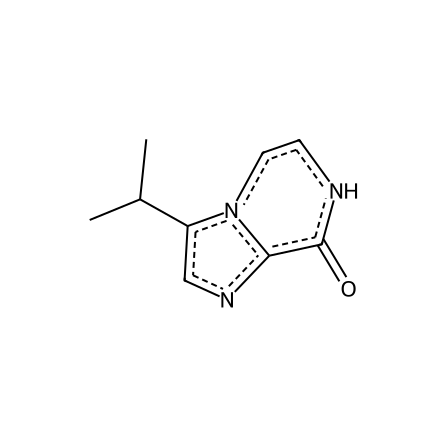 CC(C)c1cnc2c(=O)[nH]ccn12